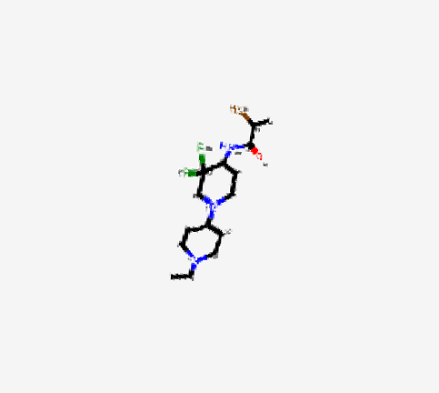 CCN1CCC(N2CCC(NC(=O)C(C)S)C(F)(F)C2)CC1